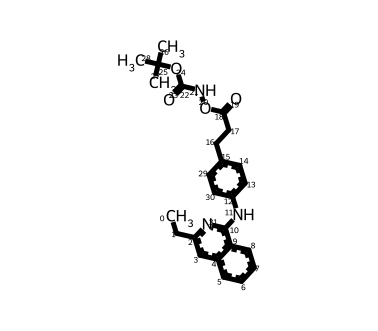 CCc1cc2ccccc2c(Nc2ccc(CCC(=O)ONC(=O)OC(C)(C)C)cc2)n1